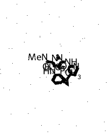 CNC(=O)c1nnc(Nc2cc(C3CC3)ccn2)cc1Nc1ccccc1P(C)(C)=O